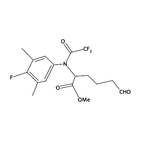 COC(=O)C(CCCC=O)N(C(=O)C(F)(F)F)c1cc(C)c(F)c(C)c1